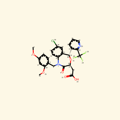 COc1ccc(CN2C(=O)[C@H](CC(=O)O)O[C@@H](c3cccnc3C(F)(F)F)c3cc(Cl)ccc32)c(OC)c1